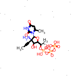 CC#C[C@@]1(N)C(O)C([C@@H](C)OP(=O)(O)OP(=O)(O)OP(=O)(O)O)O[C@H]1n1c(C)cc(=O)[nH]c1=O